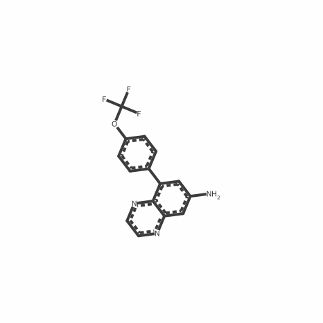 Nc1cc(-c2ccc(OC(F)(F)F)cc2)c2nccnc2c1